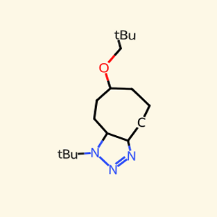 CC(C)(C)COC1CCCC2N=NN(C(C)(C)C)C2CC1